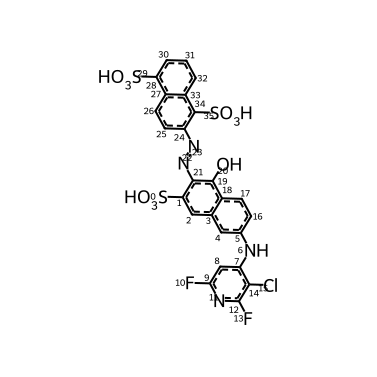 O=S(=O)(O)c1cc2cc(Nc3cc(F)nc(F)c3Cl)ccc2c(O)c1N=Nc1ccc2c(S(=O)(=O)O)cccc2c1S(=O)(=O)O